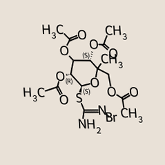 CC(=O)OCC1(C)O[C@@H](SC(N)=NBr)[C@H](OC(C)=O)C(OC(C)=O)[C@@H]1OC(C)=O